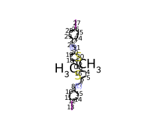 CC(C)(c1ccc(/C=C/c2ccc(I)cc2)s1)c1ccc(/C=C/c2ccc(I)cc2)s1